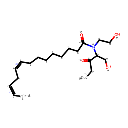 CCCCC/C=C\C/C=C\CCCCCCCC(=O)N(CCO)C(CO)C(=O)CCCCCCCCCCC